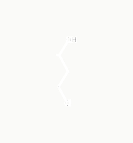 O[CH]CCCl